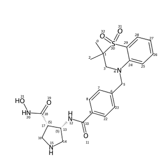 CC1(C)CN(Cc2ccc(C(=O)N[C@@H]3CNC[C@@H]3C(=O)NO)cc2)c2ccccc2S1(=O)=O